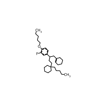 CCCCCOc1ccc(C(CCC2(CCCCC)CCCCC2)CC2=CCCCC2)cc1F